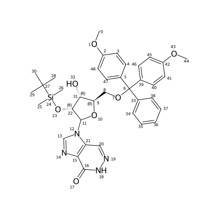 COc1ccc(C(OC[C@H]2OC(n3cnc4c(=O)[nH]ncc43)[C@H](O[Si](C)(C)C(C)(C)C)[C@@H]2O)(c2ccccc2)c2ccc(OC)cc2)cc1